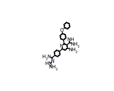 N=C(N)c1c(N)cc(-c2ccc(/C(N)=N/NN)cc2)nc1-c1ccc(Oc2ccccc2)cc1